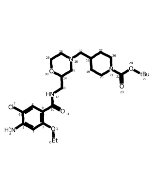 CCOc1cc(N)c(Cl)cc1C(=O)NCC1CN(CC2CCN(C(=O)OC(C)(C)C)CC2)CCO1